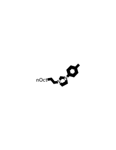 CCCCCCCCCCN1C=CN(c2ccc(C)cc2)C1